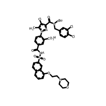 CCCCN(Cc1ccc(Cl)c(Cl)c1)C(=O)c1nn(-c2ccc(C(=O)NS(=O)(=O)c3ccc4cccc(OCCN5CCOCC5)c4c3)cc2C(=O)O)c(C)c1Cl